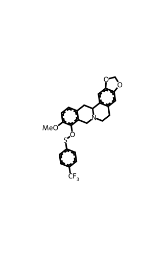 COc1ccc2c(c1OSc1ccc(C(F)(F)F)cc1)CN1CCc3cc4c(cc3C1C2)OCO4